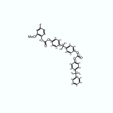 COc1cc(C)ccc1OC(=O)Oc1ccc(C(C)(C)c2ccc(OC(=O)Oc3ccc(C(C)(C)c4ccccc4)cc3)cc2)cc1